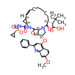 COc1ccc2c(O[C@@H]3C[C@H]4C(=O)N[C@]5(C(=O)NS(=O)(=O)C6CC6)C[C@H]5C=CCCCCC[C@H](C(C(=O)O)C(C)(C)C)C(=O)N4C3)cc(-c3ccccc3)nc2c1